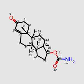 C[C@]12CCC(=O)C=C1CC[C@@H]1[C@H]2CC[C@]2(C)C(OC(N)=O)CC[C@@H]12